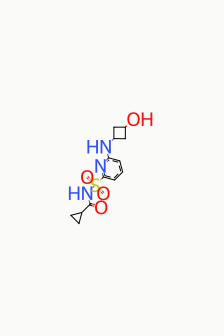 O=C(NS(=O)(=O)c1cccc(N[C@H]2C[C@H](O)C2)n1)C1CC1